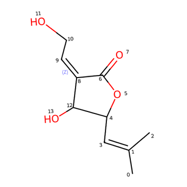 CC(C)=CC1OC(=O)/C(=C\CO)C1O